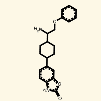 NC(COc1ccccc1)C1CCC(c2ccc3[nH]c(=O)oc3c2)CC1